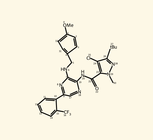 COc1ccc(CNc2nc(-c3ccccc3C(F)(F)F)cnc2NC(=O)c2c(Cl)c(C(C)(C)C)nn2C)cc1